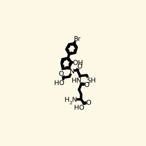 NC(CCC(=O)NC(CS)C(=O)N(CC(=O)O)c1cccc(-c2ccc(Br)cc2)c1O)C(=O)O